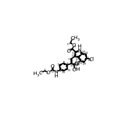 CCOC(=O)Nc1ccc(C(=Cc2c(C(=O)OCC)[nH]c3cc(Cl)cc(Cl)c23)C(=O)O)cc1